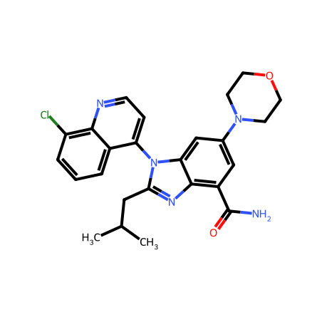 CC(C)Cc1nc2c(C(N)=O)cc(N3CCOCC3)cc2n1-c1ccnc2c(Cl)cccc12